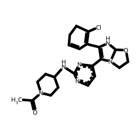 CC(=O)N1CCC(Nc2nccc(C3=C(C4=C(Cl)CCC=C4)NC4OCCN34)n2)CC1